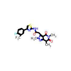 CC1C(=O)N(C)C(=O)c2c1nn(C)c2CC(=O)Nc1nc(-c2ccc(F)c(C(F)(F)F)c2)cs1